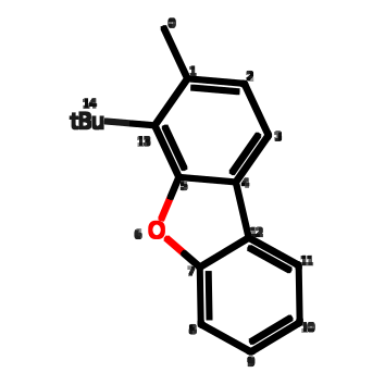 Cc1ccc2c(oc3ccccc32)c1C(C)(C)C